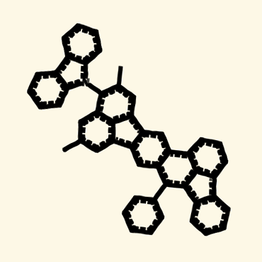 Cc1cc2c(-n3c4ccccc4c4ccccc43)c(C)cc3c4cc5c(cc4c(c1)c23)c(-c1ccccc1)c1c2ccccc2c2cccc5c21